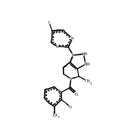 CC1C2=C(CCN1C(=O)c1cccc(C(F)(F)F)c1Cl)N(c1ncc(F)cn1)NN2